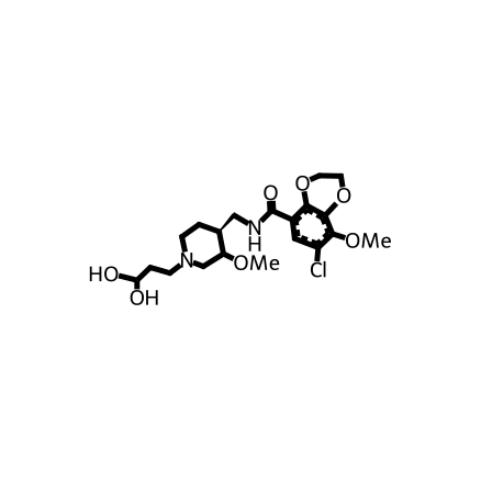 COc1c(Cl)cc(C(=O)NC[C@@H]2CCN(CCC(O)O)CC2OC)c2c1OCCO2